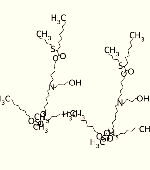 CCCCCCCCO[Si](C)(C)OC(CCCCCCC)OCCCCCCN(CCCCO)CCCCCCOC(=O)C(CCCCCCCC)SCCCCC.CCCCCCCCO[Si](C)(C)OC(CCCCCCC)OCCCCCCN(CCCCO)CCCCCCOC(=O)C(CCCCCCCC)SCCCCC